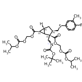 Cc1cc(SC[C@@H]2C[C@@H]3C([C@H]3C(=O)OCOC(=O)OC(C)C)[C@]2(/C=N/C(=O)OC(C)(C)C)C(=O)OCOC(=O)OC(C)C)ccc1F